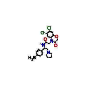 Bc1ccc(C(CN2CCCC2)N(C)C(=O)CN2C(=O)COc3cc(Cl)c(Cl)cc32)cc1